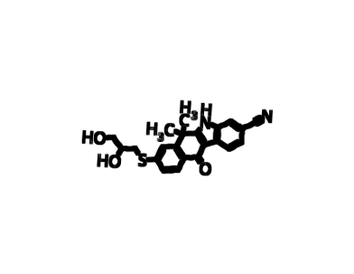 CC1(C)c2cc(SCC(O)CO)ccc2C(=O)c2c1[nH]c1cc(C#N)ccc21